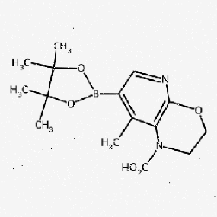 Cc1c(B2OC(C)(C)C(C)(C)O2)cnc2c1N(C(=O)O)CCO2